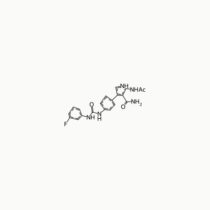 CC(=O)Nc1[nH]cc(-c2ccc(NC(=O)Nc3cccc(F)c3)cc2)c1C(N)=O